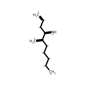 C=CCC(=N)C(=C)CCCCC